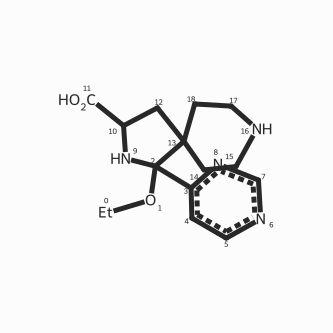 CCOC1(c2ccncn2)NC(C(=O)O)CC12CCNCC2